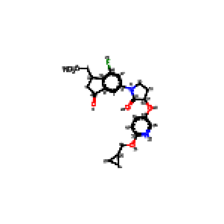 O=C(O)CC1CC(=O)c2cc(N3CC[C@@H](Oc4ccc(OCC5CC5)nc4)C3=O)cc(F)c21